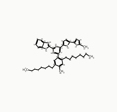 CCCCCCCCc1cc(-c2cc(-c3ccc(-c4ccc(C)s4)s3)nc(-c3nc4ccccc4s3)n2)c(CCCCCCCC)cc1C